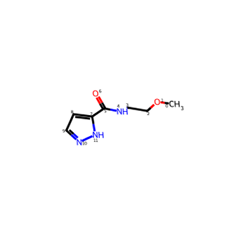 COCCNC(=O)c1ccn[nH]1